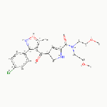 COCCN(CCOC)C(=O)C1=CC(C(=O)c2c(-c3ccc(Br)cc3)noc2C)CN1